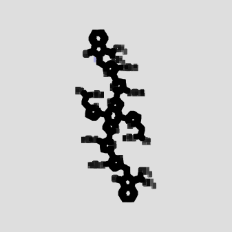 CCCCCCCCc1cc(C=C2C(=O)c3ccccc3C2=C(C)C)sc1-c1cc(CCCCCCCC)c(-c2cc3c(-c4ccc(CC(CC)CCCC)s4)c4sc(-c5sc(-c6sc(/C=C7/C(=O)c8ccccc8C7=C(C)C)cc6CCCCCCCC)cc5CCCCCCCC)cc4c(-c4ccc(CC(CC)CCCC)s4)c3s2)s1